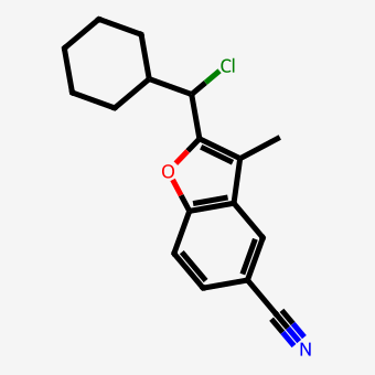 Cc1c(C(Cl)C2CCCCC2)oc2ccc(C#N)cc12